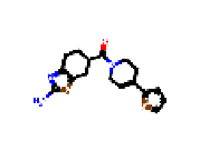 Nc1nc2c(s1)CC(C(=O)N1CC=C(c3cccs3)CC1)CC2